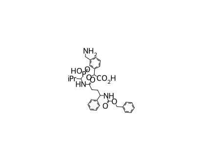 CC(C)C(NC(=O)CCC(NC(=O)OCc1ccccc1)c1ccccc1)P(=O)(O)OC(C(=O)O)c1cccc(CN)c1